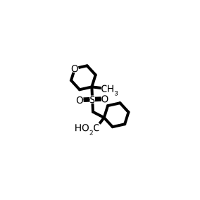 CC1(S(=O)(=O)CC2(C(=O)O)CCCCC2)CCOCC1